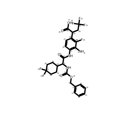 Nc1c(NC(=O)C(NC(=O)OCc2ccccc2)C2CCC(F)(F)CC2)ccc(C(CC(F)(F)F)C(=O)O)c1F